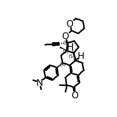 CC#C[C@]1(OC2CCCCO2)CC[C@H]2[C@@H]3CCC4=CC(=O)C(C)(C)CC4=C3[C@@H](c3ccc(N(C)C)cc3)C[C@@]21C